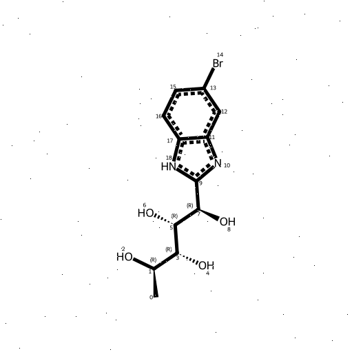 C[C@@H](O)[C@@H](O)[C@H](O)[C@H](O)c1nc2cc(Br)ccc2[nH]1